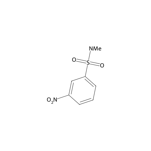 CNS(=O)(=O)c1cccc([N+](=O)[O-])c1